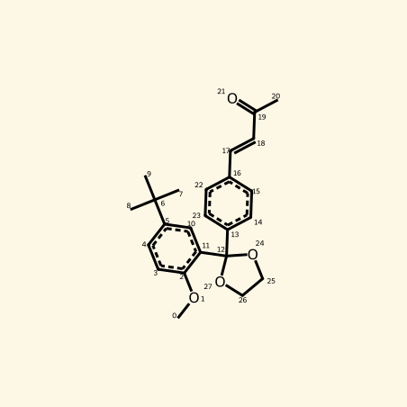 COc1ccc(C(C)(C)C)cc1C1(c2ccc(C=CC(C)=O)cc2)OCCO1